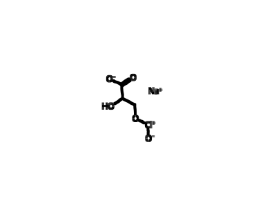 O=C([O-])C(O)CO[Cl+][O-].[Na+]